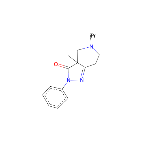 CC(C)N1CCC2=NN(c3ccccc3)C(=O)C2(C)C1